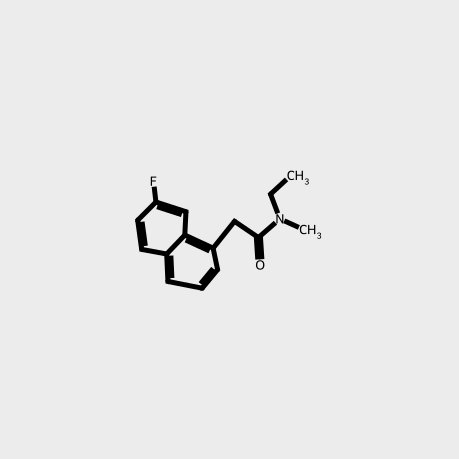 CCN(C)C(=O)Cc1cccc2ccc(F)cc12